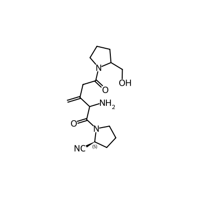 C=C(CC(=O)N1CCCC1CO)C(N)C(=O)N1CCC[C@H]1C#N